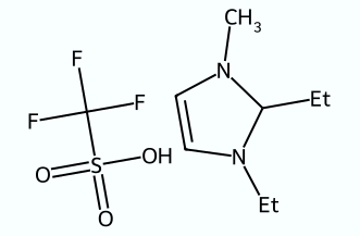 CCC1N(C)C=CN1CC.O=S(=O)(O)C(F)(F)F